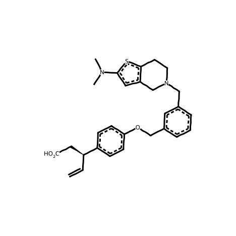 C=C[C@@H](CC(=O)O)c1ccc(OCc2cccc(CN3CCc4sc(N(C)C)cc4C3)c2)cc1